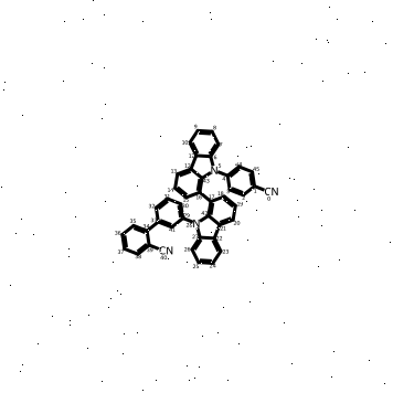 N#Cc1ccc(-n2c3ccccc3c3cccc(-c4cccc5c6ccccc6n(-c6cccc(-c7ccccc7C#N)c6)c45)c32)cc1